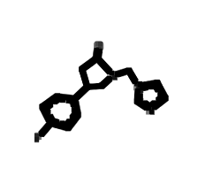 O=C1CC(c2ccc(F)cc2)CN1Cn1ccnc1